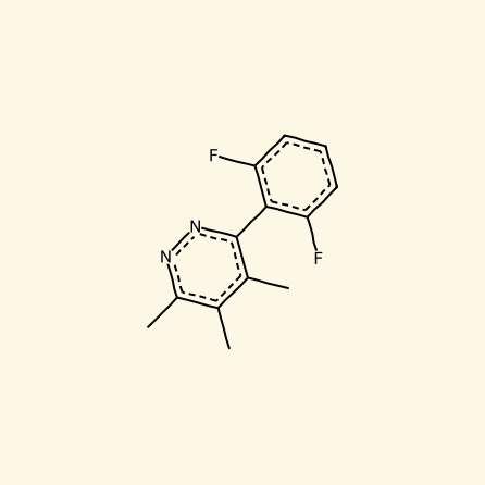 Cc1nnc(-c2c(F)cccc2F)c(C)c1C